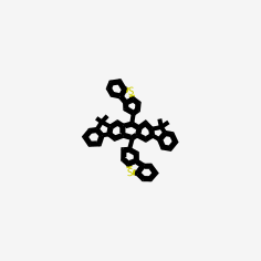 CC1(C)c2ccccc2-c2cc3c(-c4ccc5sc6ccccc6c5c4)c4cc5c(cc4c(-c4ccc6sc7ccccc7c6c4)c3cc21)C(C)(C)c1ccccc1-5